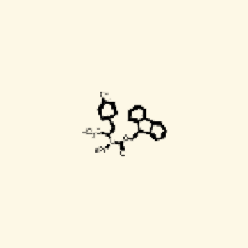 CCCN(C(=O)OCC1c2ccccc2-c2ccccc21)C(Cc1ccc(C(F)(F)F)cc1)C(=O)O